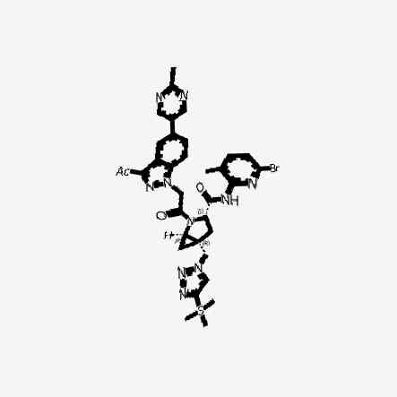 CC(=O)c1nn(CC(=O)N2[C@H](C(=O)Nc3nc(Br)ccc3C)C[C@@]3(Cn4cc(S(C)(C)C)nn4)C[C@@H]23)c2ccc(-c3cnc(C)nc3)cc12